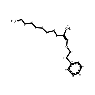 CCCCCCCCCC(C)=COCCc1ccccc1